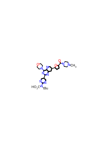 CN1CCN(C(=O)c2ccc(-c3cnc4c(N5CCOCC5)nc(-c5cnc(N(C(=O)O)C(C)(C)C)nc5)nc4c3)o2)CC1